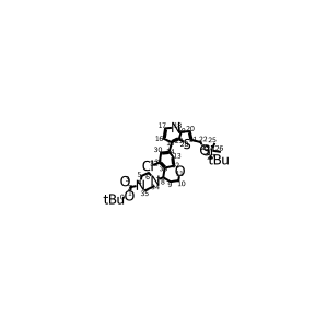 CC(C)(C)OC(=O)N1CCN(C2CCOc3cc(-c4ccnc5cc(CO[Si](C)(C)C(C)(C)C)sc45)cc(Cl)c32)CC1